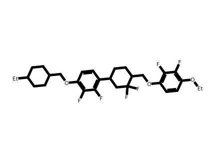 CCOc1ccc(OCC2CCC(c3ccc(OCC4CCC(CC)CC4)c(F)c3F)CC2(F)F)c(F)c1F